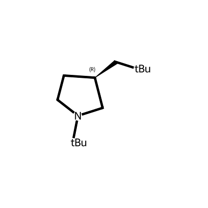 CC(C)(C)C[C@@H]1CCN(C(C)(C)C)C1